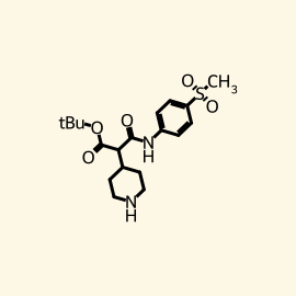 CC(C)(C)OC(=O)C(C(=O)Nc1ccc(S(C)(=O)=O)cc1)C1CCNCC1